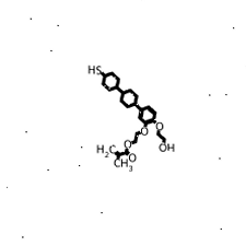 C=C(C)C(=O)OCCOc1cc(C2CCC(C3CCC(S)CC3)CC2)ccc1OCCO